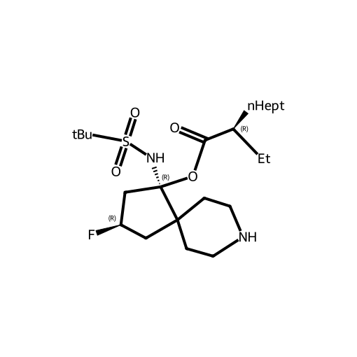 CCCCCCC[C@@H](CC)C(=O)O[C@]1(NS(=O)(=O)C(C)(C)C)C[C@H](F)CC12CCNCC2